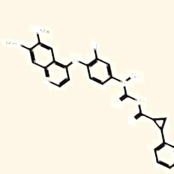 COc1cc2nccc(Oc3ccc(N(S)C(=O)NC(=O)C4CC4c4ccccc4)cc3Cl)c2cc1OC